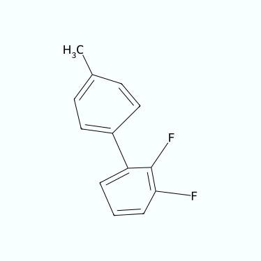 Cc1ccc(-c2cccc(F)c2F)cc1